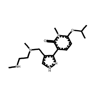 CNCCN(C)Cc1c[nH]nc1-c1ccc(OC(C)C)n(C)c1=O